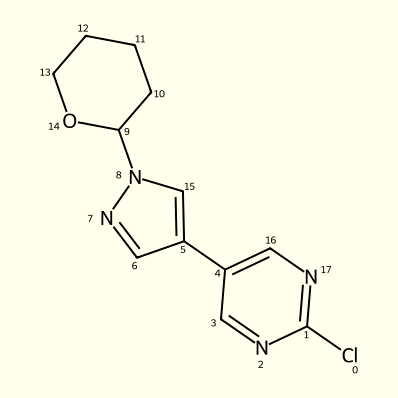 Clc1ncc(-c2cnn(C3CCCCO3)c2)cn1